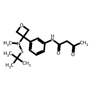 CC(=O)CC(=O)Nc1cccc(C2(N(C)SC(C)(C)C)COC2)c1